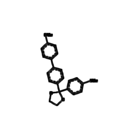 COc1ccc(-c2ccc(C3(c4ccc(SC)cc4)OCCO3)cc2)cc1